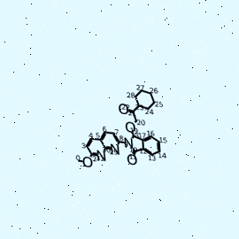 COc1ccc2ccc(N3C(=O)c4ccccc4C3OCC(=O)C3CCCCC3)nc2n1